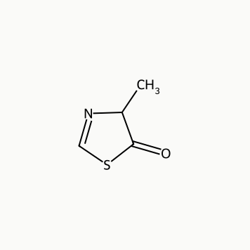 CC1N=CSC1=O